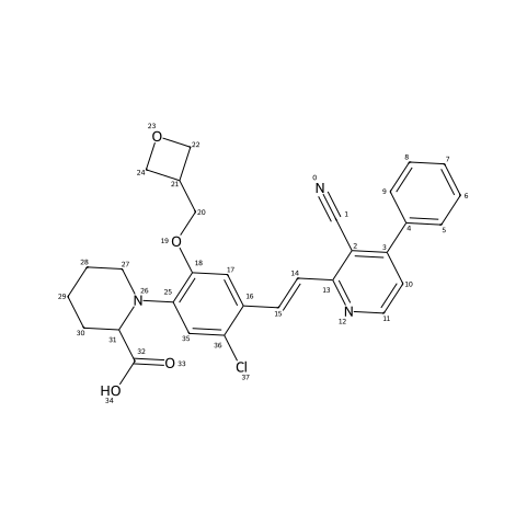 N#Cc1c(-c2ccccc2)ccnc1/C=C/c1cc(OCC2COC2)c(N2CCCCC2C(=O)O)cc1Cl